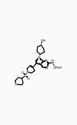 CCC[C@H](C)Nc1ncc2c(C3=CCN(S(=O)(=O)C4CCOCC4)CC3)cn([C@H]3CC[C@H](O)CC3)c2n1